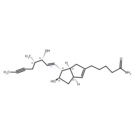 CC#CC[C@H](C)[C@H](O)/C=C/[C@@H]1[C@H]2CC(CCCCC(N)=O)=C[C@H]2C[C@H]1O